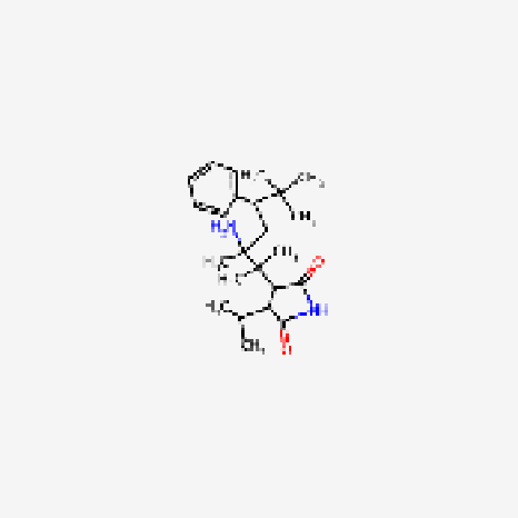 CC(C)C1C(=O)NC(=O)C1C(C)(C)C(C)(N)CC(c1ccccc1)C(C)(C)C